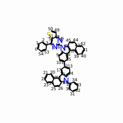 c1ccc(-c2nc(-n3c4ccc(-c5ccc6c(c5)c5c7ccccc7ccc5n6-c5ccccc5)cc4c4c5ccccc5ccc43)nc3ccsc23)cc1